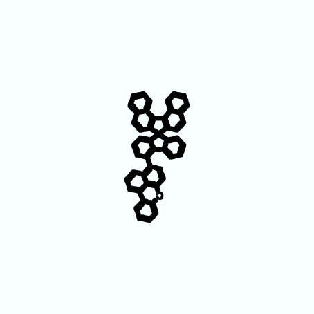 c1ccc2c(c1)Oc1ccc(-c3cccc4c3-c3ccccc3C43c4ccc5ccccc5c4-c4c3ccc3ccccc43)c3cccc-2c13